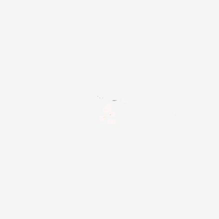 C=C[CH2][Na].CCCCCCCCCCCCOCCCCCCCCCCCC.O=S(=O)(O)O